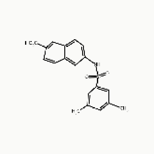 Cc1cc(C)cc(S(=O)(=O)Nc2ccc3cc(C(=O)O)ccc3c2)c1